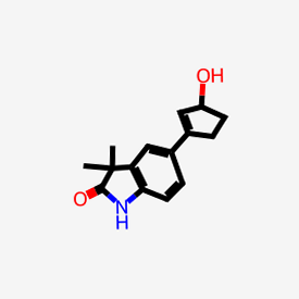 CC1(C)C(=O)Nc2ccc(C3=CC(O)CC3)cc21